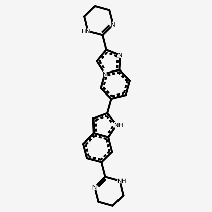 c1cc2cc(-c3ccc4nc(C5=NCCCN5)cn4c3)[nH]c2cc1C1=NCCCN1